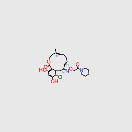 C/C1=C\CC/C=C/C(=N\OCC(=O)N2CCCCC2)Cc2c(Cl)c(O)cc(O)c2C(=O)OCC1